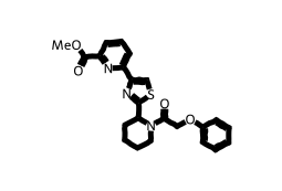 COC(=O)c1cccc(-c2csc(C3CCCCN3C(=O)COc3ccccc3)n2)n1